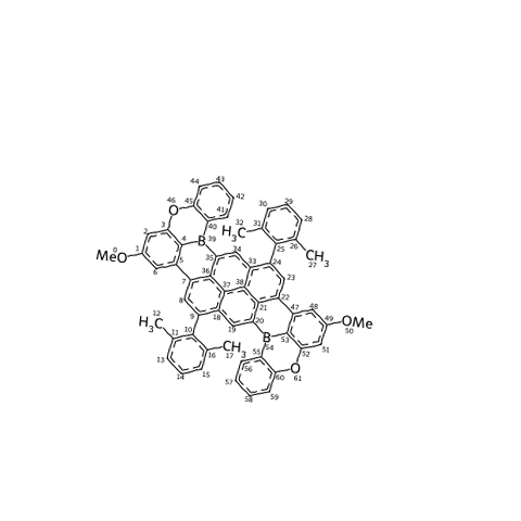 COc1cc2c3c(c1)-c1cc(-c4c(C)cccc4C)c4cc5c6c(cc(-c7c(C)cccc7C)c7cc(c1c4c76)B3c1ccccc1O2)-c1cc(OC)cc2c1B5c1ccccc1O2